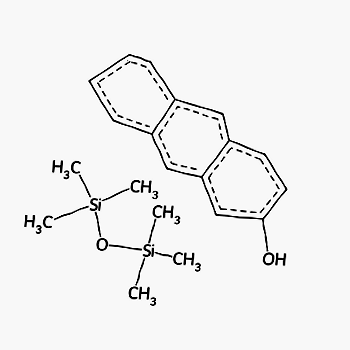 C[Si](C)(C)O[Si](C)(C)C.Oc1ccc2cc3ccccc3cc2c1